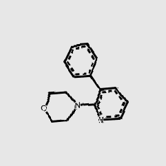 [c]1ccnc(N2CCOCC2)c1-c1ccccc1